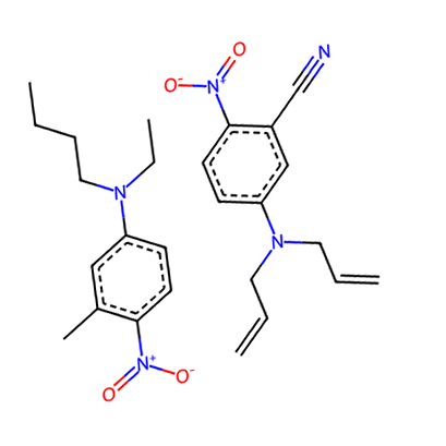 C=CCN(CC=C)c1ccc([N+](=O)[O-])c(C#N)c1.CCCCN(CC)c1ccc([N+](=O)[O-])c(C)c1